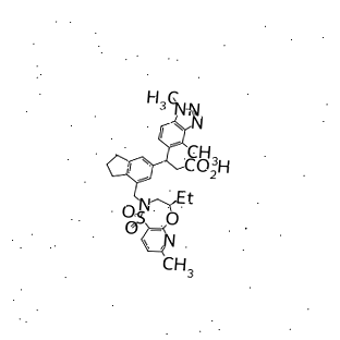 CC[C@@H]1CN(Cc2cc(C(CC(=O)O)c3ccc4c(nnn4C)c3C)cc3c2CCC3)S(=O)(=O)c2ccc(C)nc2O1